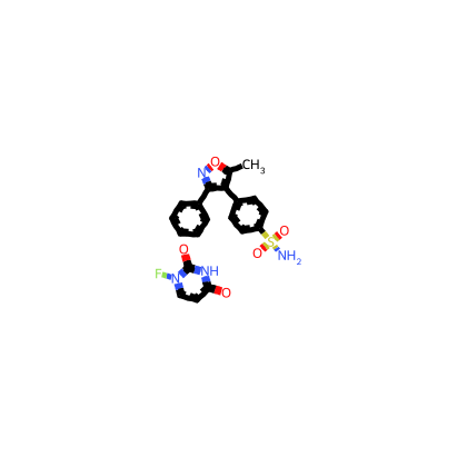 Cc1onc(-c2ccccc2)c1-c1ccc(S(N)(=O)=O)cc1.O=c1ccn(F)c(=O)[nH]1